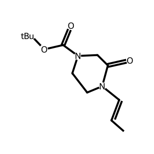 CC=CN1CCN(C(=O)OC(C)(C)C)CC1=O